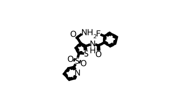 NC(=O)c1cc(S(=O)(=O)c2ccccn2)sc1NC(=O)c1ccccc1F